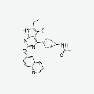 CCc1[nH]c2nc(Oc3ccc4nccnc4c3)nc(N3CC4C(C3)C4NC(C)=O)c2c1Cl